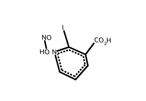 O=C(O)c1cccnc1I.O=NO